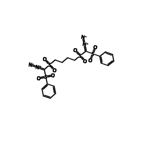 [N-]=[N+]=C(S(=O)(=O)CCCCS(=O)(=O)C(=[N+]=[N-])S(=O)(=O)c1ccccc1)S(=O)(=O)c1ccccc1